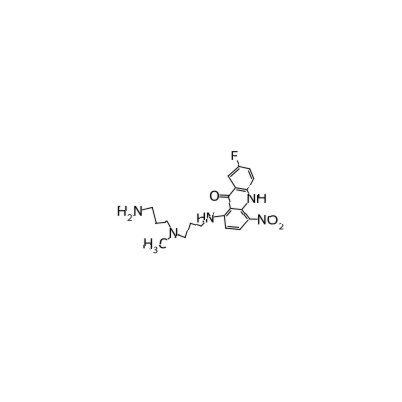 CN(CCCN)CCCNc1ccc([N+](=O)[O-])c2[nH]c3ccc(F)cc3c(=O)c12